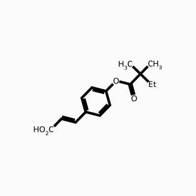 CCC(C)(C)C(=O)Oc1ccc(/C=C/C(=O)O)cc1